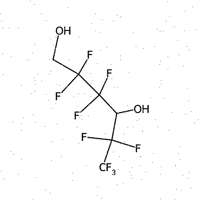 OCC(F)(F)C(F)(F)C(O)C(F)(F)C(F)(F)F